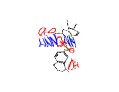 Cc1ccc(F)c([C@@H](C)[C@H](NS(=O)(=O)c2ccc3c(c2)C(C)(O)CCC3)c2n[nH]c(=O)o2)c1C